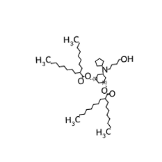 CCCCCCCCC(CCCCCCCC)C(=O)OC[C@@H]1CC(N(CCCCO)C2CCCC2)C[C@H](COC(=O)C(CCCCCCCC)CCCCCCCC)C1